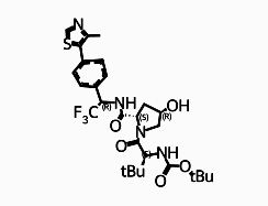 Cc1ncsc1-c1ccc([C@@H](NC(=O)[C@@H]2C[C@@H](O)CN2C(=O)[C@@H](NC(=O)OC(C)(C)C)C(C)(C)C)C(F)(F)F)cc1